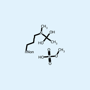 CCCCCCCCCCCCN(C)C(C)(O)O.COS(=O)(=O)O